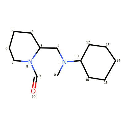 CN(CC1CCCCN1[C]=O)C1CCCCC1